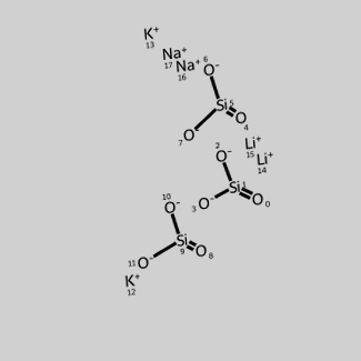 O=[Si]([O-])[O-].O=[Si]([O-])[O-].O=[Si]([O-])[O-].[K+].[K+].[Li+].[Li+].[Na+].[Na+]